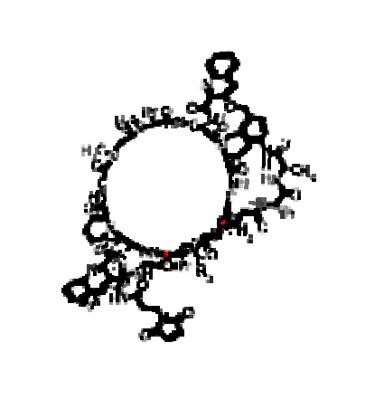 CC(C)[C@H](NC(=O)CCOCCOCCOCCNC(=O)[C@H](CS(=O)(=O)O)NC(=O)CCN1C(=O)C=CC1=O)C(=O)N[C@@H](C)C(=O)Nc1ccc(COc2cc3ccccc3nc2C(=O)N[C@@H]2CNC(=O)[C@H](C(C)C)N(C)C(=O)CN(C)C(=O)CNC(=O)[C@@H]3CCCCN3C(=O)[C@H](NC(=O)c3nc4ccccc4cc3O)CNC(=O)[C@H](C(C)C)N(C)C(=O)CN(C)C(=O)CNC(=O)[C@@H]3CCCCN3C2=O)cc1